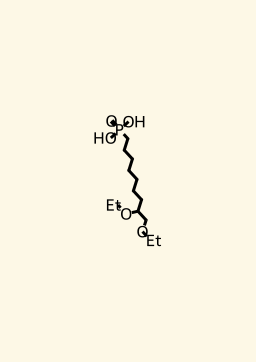 CCOCC(CCCCCCCP(=O)(O)O)OCC